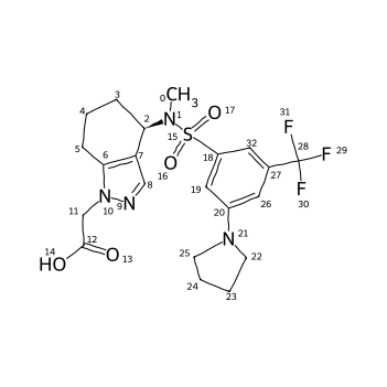 CN([C@@H]1CCCc2c1cnn2CC(=O)O)S(=O)(=O)c1cc(N2CCCC2)cc(C(F)(F)F)c1